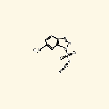 [N-]=[N+]=NS(=O)(=O)n1nnc2ccc([N+](=O)[O-])cc21